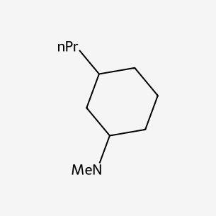 CCCC1CCCC(NC)C1